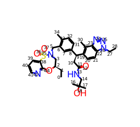 CC[C@@H]1CN(Cc2cc([C@H](CC(=O)NCC(C)(C)O)c3ccc4c(nnn4CC)c3C)ccc2C)S(=O)(=O)c2cccnc2O1